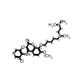 COc1ccc2c(Nc3c(Cl)cncc3Cl)cc(=O)oc2c1OCCCCCN(C)CCN(C)C